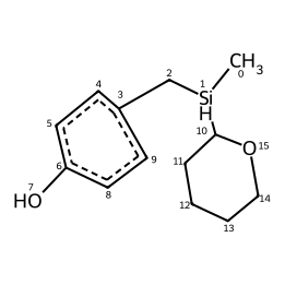 C[SiH](Cc1ccc(O)cc1)C1CCCCO1